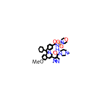 COc1ccc2c(c1)C=C(c1c(C(=O)N3CCCN(C)CC3)cnn1C)Cn1c-2c(C2CCCCC2)c2ccc(C(=O)NS(=O)(=O)N3CCOCC3)cc21